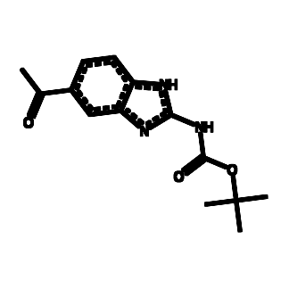 CC(=O)c1ccc2[nH]c(NC(=O)OC(C)(C)C)nc2c1